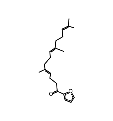 CC(C)=CCC/C(C)=C/CC/C(C)=C/CCC(=O)c1ccco1